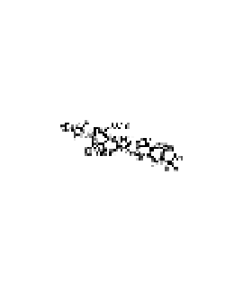 [CH2]C(Nc1nc(OC)c(NC(=O)c2csc(Oc3cc4c(cc3Cl)CCC4(C)C)n2)c(OC)n1)C(C)(C)C